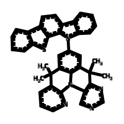 CC1(C)c2cccnc2N2c3cncnc3C(C)(C)c3cc(-n4c5ccccc5c5ccc6c7ccccc7sc6c54)cc1c32